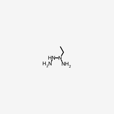 CCN(N)NN